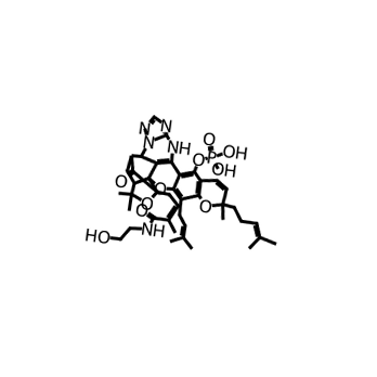 CC(C)=CCCC1(C)C=Cc2c(c(CC=C(C)C)c3c(c2OP(=O)(O)O)C2=C4C(C5CC6C(C)(C)OC(C/C=C(/C)C(=O)NCCO)(C5=O)C46O3)n3ncnc3N2)O1